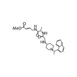 COC(=O)/C=C/CNC(=O)C(C)NC(=O)CNC1CCN(C(C)c2cccc3ccccc23)CC1